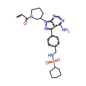 C=CC(=O)N1CCCC(n2nc(-c3ccc(CNS(=O)(=O)C4CCCCC4)cc3)c3c(N)ncnc32)C1